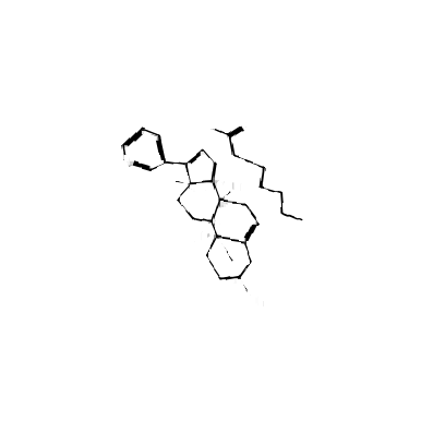 CCCCCCC(=O)O.C[C@]12CC[C@H](O)CC1=CC[C@@H]1[C@@H]2CC[C@]2(C)C(c3cccnc3)=CC[C@@H]12